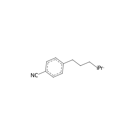 C[C](C)CCCc1ccc(C#N)cc1